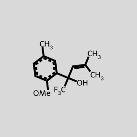 COc1ccc(C)cc1C(O)(C=C(C)C)C(F)(F)F